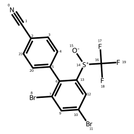 N#Cc1ccc(-c2c(Br)cc(Br)cc2[S+]([O-])C(F)(F)F)cc1